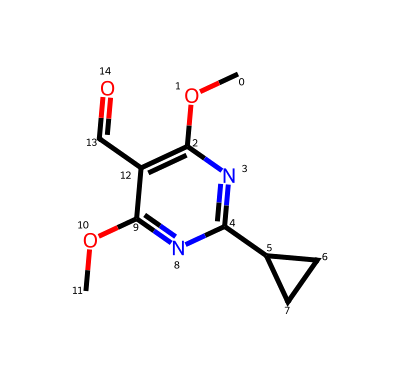 COc1nc(C2CC2)nc(OC)c1C=O